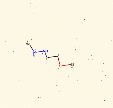 CCOCCNNC(C)=O